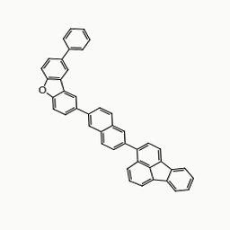 c1ccc(-c2ccc3oc4ccc(-c5ccc6cc(-c7ccc8c9c(cccc79)-c7ccccc7-8)ccc6c5)cc4c3c2)cc1